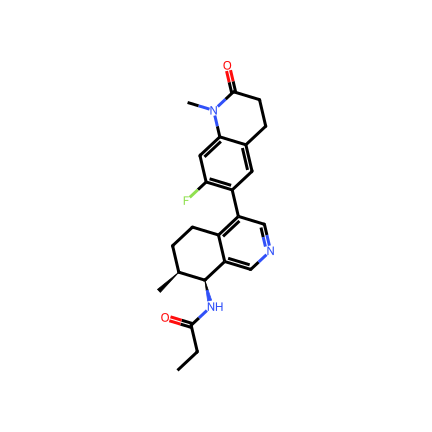 CCC(=O)N[C@@H]1c2cncc(-c3cc4c(cc3F)N(C)C(=O)CC4)c2CC[C@@H]1C